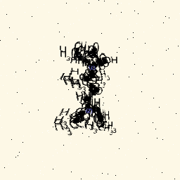 CC1CN(C[C@@H]2[C@H](NC(=O)/C(=N\OC(C)(C)C(=O)OC(C)(C)C)c3csc(NC(=O)OC(C)(C)C)n3)C(=O)N2S(=O)(=O)O)C(=O)O1.CC1CN(C[C@H]2NC(=O)[C@H]2NC(=O)/C(=N\OC(C)(C)C(=O)OC(C)(C)C)c2csc(NC(=O)OC(C)(C)C)n2)C(=O)O1